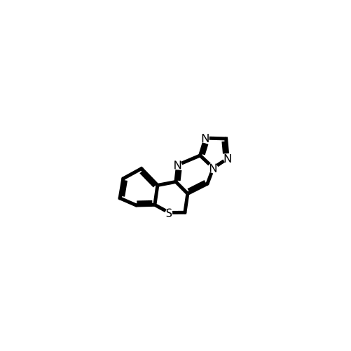 c1ccc2c(c1)SCc1cn3ncnc3nc1-2